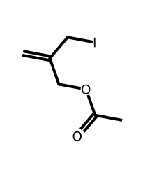 C=C(CI)COC(C)=O